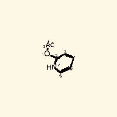 CC(=O)O[C]1C=CC=CN1